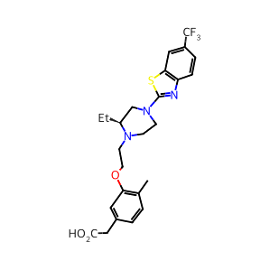 CC[C@H]1CN(c2nc3ccc(C(F)(F)F)cc3s2)CCN1CCOc1cc(CC(=O)O)ccc1C